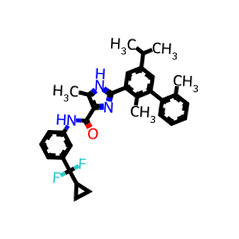 Cc1ccccc1-c1cc(C(C)C)cc(-c2nc(C(=O)Nc3cccc(C(F)(F)C4CC4)c3)c(C)[nH]2)c1C